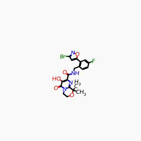 CC1(C)OCCn2c1nc(C(=O)NCc1ccc(F)cc1-c1cc(Br)no1)c(O)c2=O